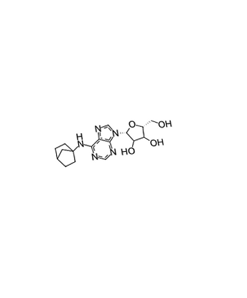 OC[C@H]1O[C@@H](n2cnc3c(NC45CCC(CC4)C5)ncnc32)C(O)C1O